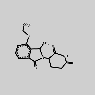 CC1c2c(OCC(=O)O)cccc2C(=O)N1C1CCC(=O)NC1=O